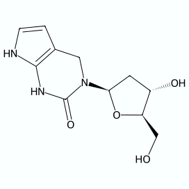 O=C1Nc2[nH]ccc2CN1[C@H]1C[C@H](O)[C@@H](CO)O1